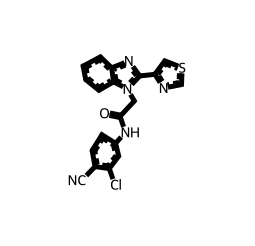 N#Cc1ccc(NC(=O)Cn2c(-c3cscn3)nc3ccccc32)cc1Cl